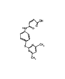 Cc1cc(C)nc(Sc2ccc(NC(=O)/C=C\C(=O)O)cc2)n1